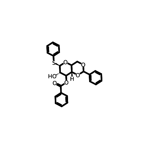 O=C(OC1[C@H]2OC(c3ccccc3)OCC2O[C@H](Sc2ccccc2)[C@H]1O)c1ccccc1